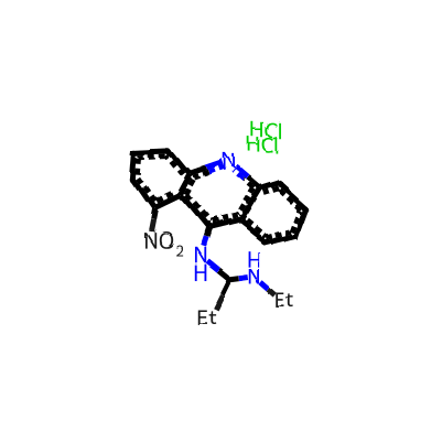 CCNC(CC)Nc1c2ccccc2nc2cccc([N+](=O)[O-])c12.Cl.Cl